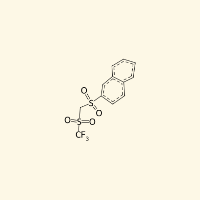 O=S(=O)(CS(=O)(=O)C(F)(F)F)c1ccc2ccccc2c1